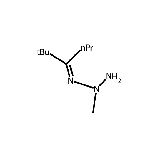 CCC/C(=N\N(C)N)C(C)(C)C